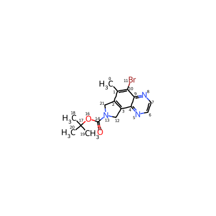 Cc1c2c(c3nccnc3c1Br)CN(C(=O)OC(C)(C)C)C2